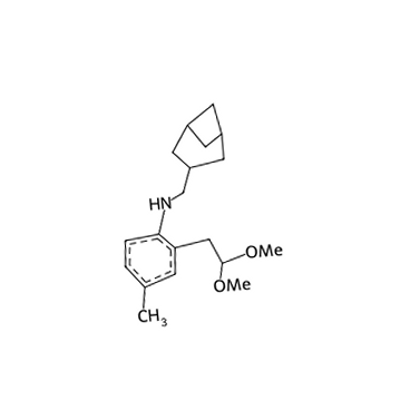 COC(Cc1cc(C)ccc1NCC1CC2CC(C1)C2)OC